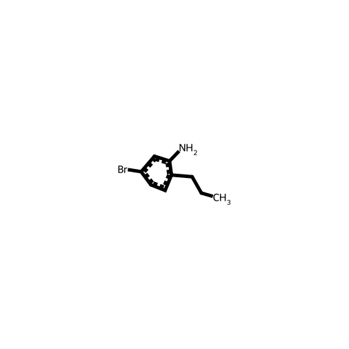 CCCc1ccc(Br)cc1N